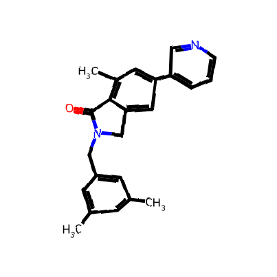 Cc1cc(C)cc(CN2Cc3cc(-c4cccnc4)cc(C)c3C2=O)c1